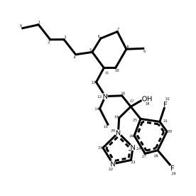 CCCCCC1CCC(C)CC1CN(CC)CC(O)(Cn1cncn1)c1ccc(F)cc1F